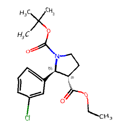 CCOC(=O)[C@H]1CCN(C(=O)OC(C)(C)C)[C@@H]1c1cccc(Cl)c1